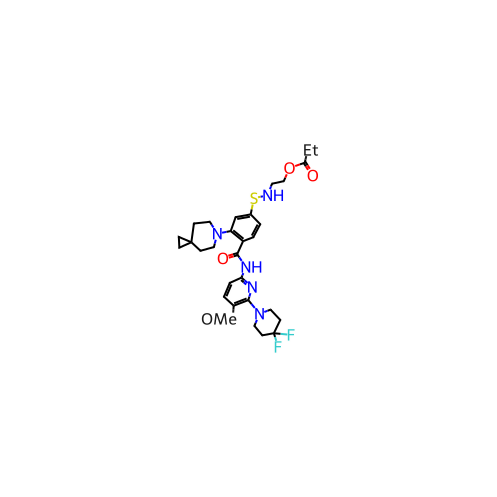 CCC(=O)OCCNSc1ccc(C(=O)Nc2ccc(OC)c(N3CCC(F)(F)CC3)n2)c(N2CCC3(CC2)CC3)c1